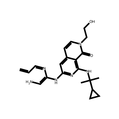 C=C/C=N\C(=C/N)Nc1cc2ccn(CCO)c(=O)c2c(NC(C)(C)C2CC2)n1